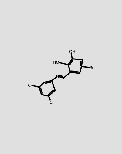 Oc1cc(Br)cc(C=Nc2cc(Cl)cc(Cl)c2)c1O